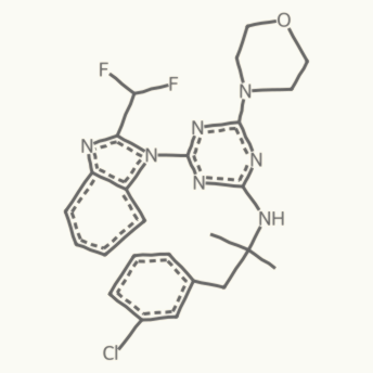 CC(C)(Cc1cccc(Cl)c1)Nc1nc(N2CCOCC2)nc(-n2c(C(F)F)nc3ccccc32)n1